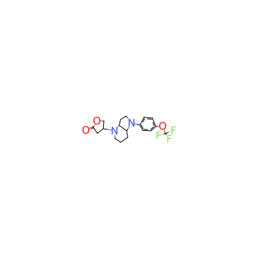 O=C1CC(N2CCCC3C2CCN3c2ccc(OC(F)(F)F)cc2)CO1